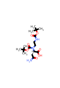 CC(C)(C)OC(=O)NCCN(C(=O)OC(C)(C)C)[C@@H](CC(N)=O)C(=O)O